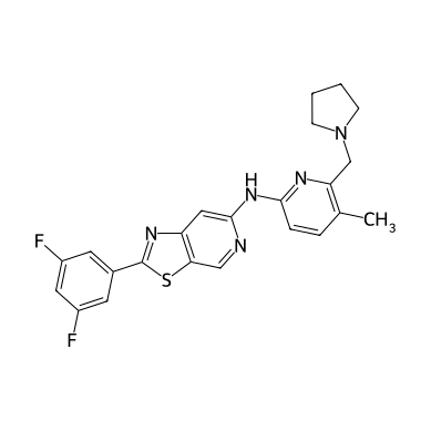 Cc1ccc(Nc2cc3nc(-c4cc(F)cc(F)c4)sc3cn2)nc1CN1CCCC1